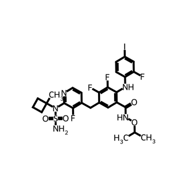 CC(C)ONC(=O)c1cc(Cc2ccnc(N(C3(C)CCC3)S(N)(=O)=O)c2F)c(F)c(F)c1Nc1ccc(I)cc1F